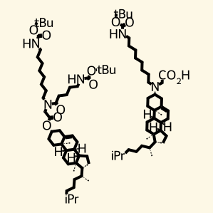 CC(C)CCC[C@@H](C)[C@H]1CC[C@H]2[C@@H]3CC=C4C[C@@H](N(CCCCCCCCNC(=O)OC(C)(C)C)CC(=O)O)CC[C@]4(C)[C@H]3CC[C@]12C.CC(C)CCC[C@@H](C)[C@H]1CC[C@H]2[C@@H]3CC=C4C[C@@H](OC(=O)CN(CCCCCCCCNC(=O)OC(C)(C)C)C(=O)CCCCNC(=O)OC(C)(C)C)CC[C@]4(C)[C@H]3CC[C@]12C